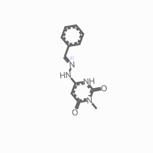 Cn1c(=O)cc(N/N=C/c2ccccc2)[nH]c1=O